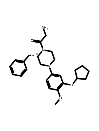 COc1ccc(N2CCN(C(=O)CN)[C@@H](Cc3ccccc3)C2)cc1OC1CCCC1